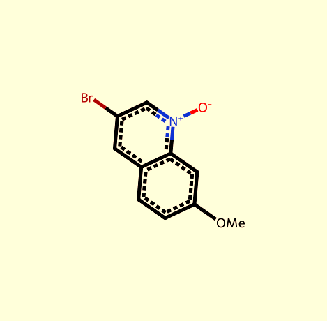 COc1ccc2cc(Br)c[n+]([O-])c2c1